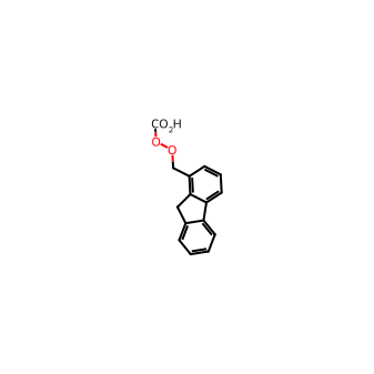 O=C(O)OOCc1cccc2c1Cc1ccccc1-2